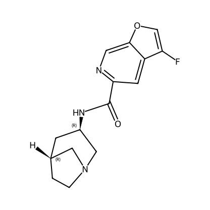 O=C(N[C@@H]1C[C@H]2CCN(C2)C1)c1cc2c(F)coc2cn1